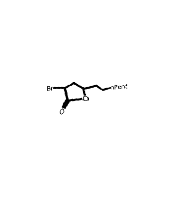 CCCCCCCC1CC(Br)C(=O)O1